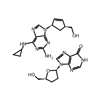 Nc1nc(NC2CC2)c2ncn([C@H]3C=C[C@@H](CO)C3)c2n1.O=c1[nH]cnc2c1ncn2[C@H]1CC[C@@H](CO)O1